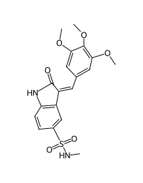 CNS(=O)(=O)c1ccc2c(c1)C(=Cc1cc(OC)c(OC)c(OC)c1)C(=O)N2